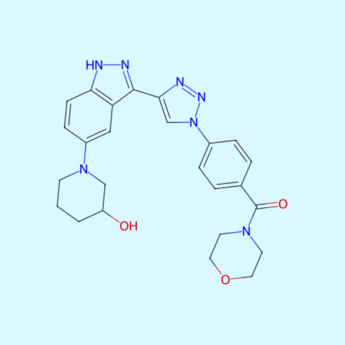 O=C(c1ccc(-n2cc(-c3n[nH]c4ccc(N5CCCC(O)C5)cc34)nn2)cc1)N1CCOCC1